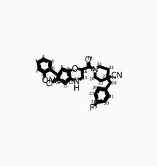 COc1ccccc1-c1cc2c(cc1Cl)NCC(C(=O)N1CCC(C#N)(Cc3ccc(F)cc3)CC1)O2